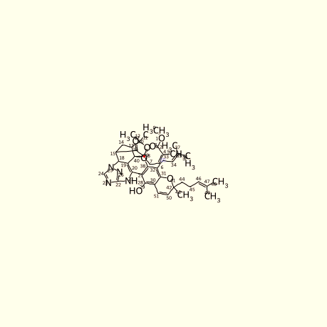 COC(=O)/C(C)=C\CC12OC(C)(C)C3CC(C1=O)C1C4=C(Nc5ncn1n5)c1c(O)c5c(c(CC=C(C)C)c1OC432)OC(C)(CCC=C(C)C)C=C5